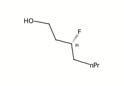 CCCC[C@@H](F)CCO